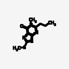 CCCc1nc2sc(SC)nc2c(=O)n1C